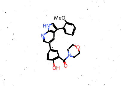 COc1ccccc1-c1c[nH]c2ncc(-c3ccc(O)c(C(=O)N4CCOCC4)c3)cc12